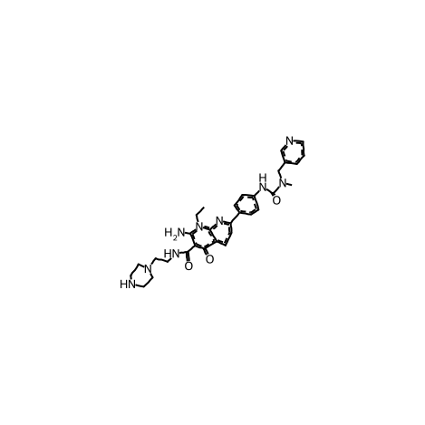 CCn1c(N)c(C(=O)NCCN2CCNCC2)c(=O)c2ccc(-c3ccc(NC(=O)N(C)Cc4cccnc4)cc3)nc21